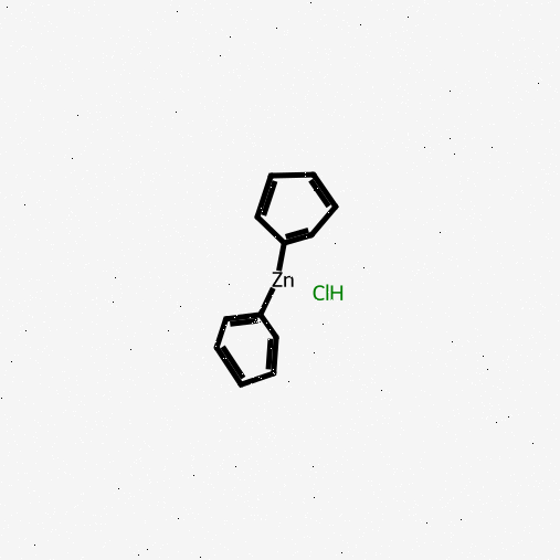 Cl.c1cc[c]([Zn][c]2ccccc2)cc1